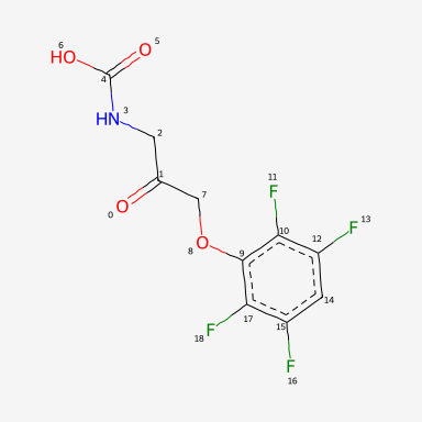 O=C(CNC(=O)O)COc1c(F)c(F)cc(F)c1F